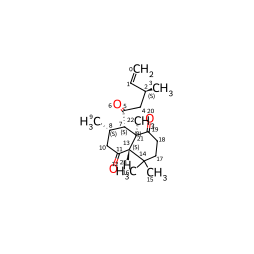 C=C[C@@H](C)CC(=O)[C@H]1[C@@H](C)CC(=O)[C@H]2C(C)(C)CCC(=O)[C@]12C